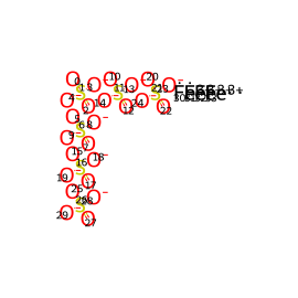 O=S(=O)([O-])[O-].O=S(=O)([O-])[O-].O=S(=O)([O-])[O-].O=S(=O)([O-])[O-].O=S(=O)([O-])[O-].O=S(=O)([O-])[O-].[Fe+3].[Fe+3].[Fe+3].[Fe+3]